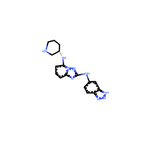 c1cc(N[C@H]2CCCNC2)n2nc(Nc3ccc4nn[nH]c4c3)nc2c1